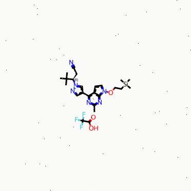 Cc1nc(-c2cnn([C@H](CC#N)C(C)(C)C)c2)c2ccn(OCC[Si](C)(C)C)c2n1.O=C(O)C(F)(F)F